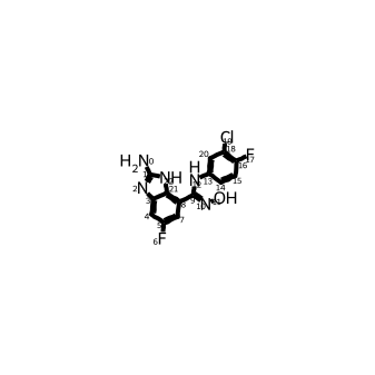 Nc1nc2cc(F)cc(/C(=N/O)Nc3ccc(F)c(Cl)c3)c2[nH]1